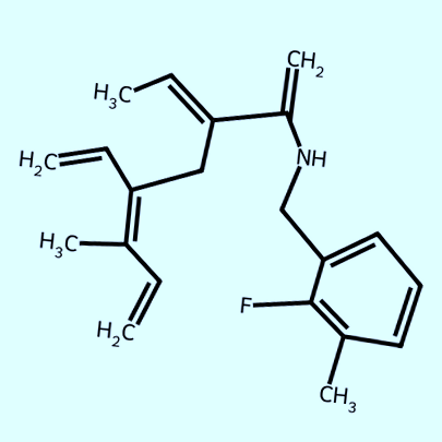 C=C/C(C)=C(/C=C)C/C(=C\C)C(=C)NCc1cccc(C)c1F